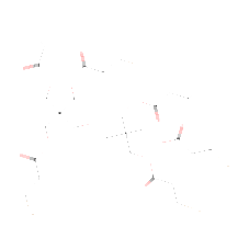 CCC(=O)OCC(COCC(COC(=O)CCS)(COC(=O)CCS)COC(=O)CCS)(COC(=O)CCS)COC(=O)CCS